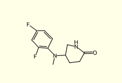 CN(c1ccc(F)cc1F)C1CCC(=O)NC1